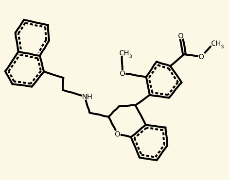 COC(=O)c1ccc(C2CC(CNCCc3cccc4ccccc34)Oc3ccccc32)c(OC)c1